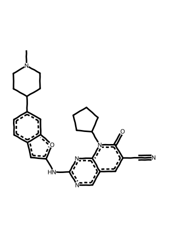 CN1CCC(c2ccc3cc(Nc4ncc5cc(C#N)c(=O)n(C6CCCC6)c5n4)oc3c2)CC1